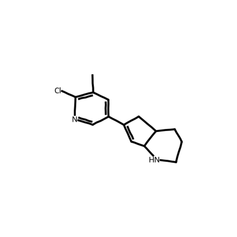 Cc1cc(C2=CC3NCCCC3C2)cnc1Cl